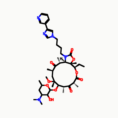 CC[C@H]1OC(=O)[C@H](C)C(=O)[C@H](C)[C@@H](OC2OC(C)CC(N(C)C)C2O)[C@](C)(OC)C[C@@H](C)C(=O)[C@H](C)[C@H]2N(CCCCn3cnc(-c4cccnc4)c3)C(=O)O[C@]12C